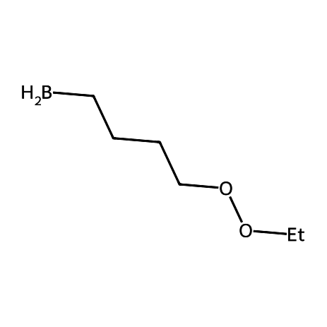 BCCCCOOCC